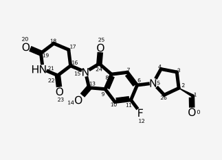 O=C[C@@H]1CCN(c2cc3c(cc2F)C(=O)N(C2CCC(=O)NC2=O)C3=O)C1